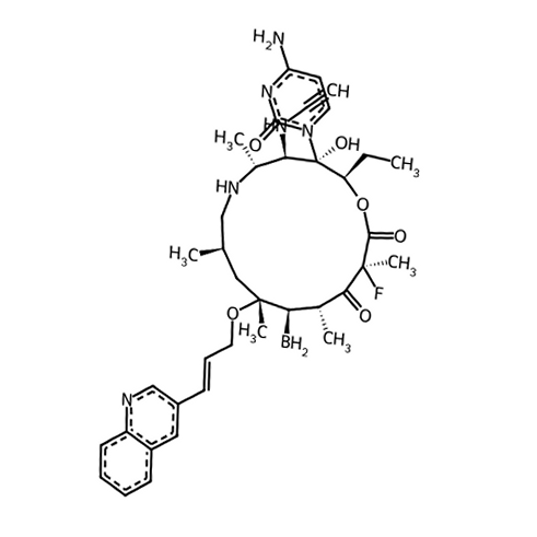 B[C@@H]1[C@@H](C)C(=O)[C@](C)(F)C(=O)O[C@H](CC)[C@](O)(n2ccc(N)nc2=O)[C@H](NC#C)[C@@H](C)NC[C@H](C)C[C@@]1(C)OC/C=C/c1cnc2ccccc2c1